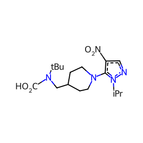 CC(C)n1ncc([N+](=O)[O-])c1N1CCC(CN(C(=O)O)C(C)(C)C)CC1